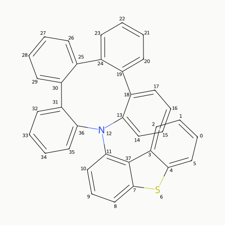 c1ccc2c(c1)sc1cccc(-n3c4ccccc4c4ccccc4c4ccccc4c4ccccc43)c12